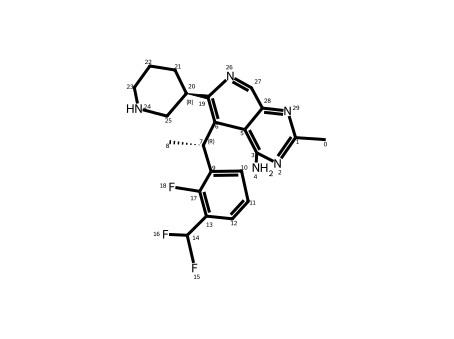 Cc1nc(N)c2c([C@@H](C)c3cccc(C(F)F)c3F)c([C@@H]3CCCNC3)ncc2n1